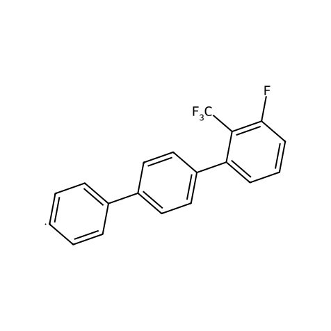 Fc1cccc(-c2ccc(-c3cc[c]cc3)cc2)c1C(F)(F)F